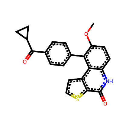 COc1ccc2[nH]c(=O)c3sccc3c2c1-c1ccc(C(=O)C2CC2)cc1